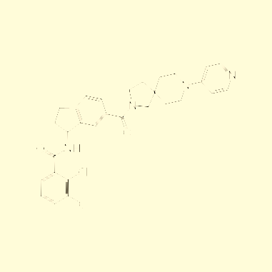 O=C(NC1CCc2ccc(C(=O)N3CCC4(CCN(c5ccncc5)CC4)C3)cc21)c1cccc(Cl)c1Cl